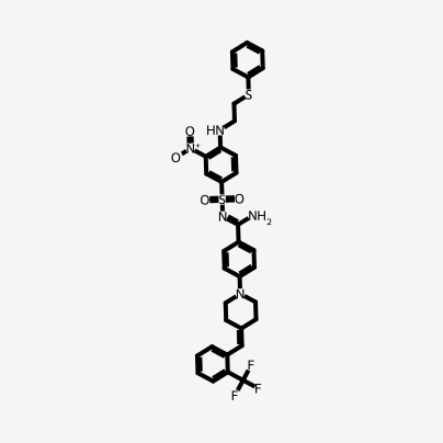 NC(=NS(=O)(=O)c1ccc(NCCSc2ccccc2)c([N+](=O)[O-])c1)c1ccc(N2CCC(=Cc3ccccc3C(F)(F)F)CC2)cc1